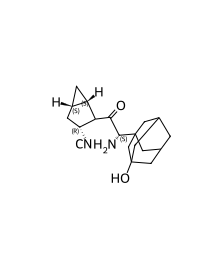 N#C[C@@H]1C[C@@H]2C[C@@H]2C1C(=O)[C@@H](N)C12CC3CC(CC(O)(C3)C1)C2